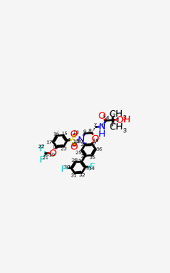 CC(C)(O)C(=O)NC[C@H]1CN(S(=O)(=O)c2cccc(OC(F)F)c2)c2cc(-c3cc(F)ccc3F)ccc2O1